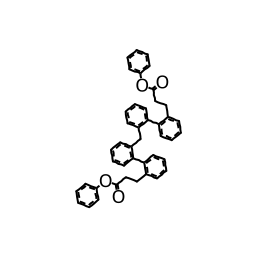 O=C(CCc1ccccc1-c1ccccc1Cc1ccccc1-c1ccccc1CCC(=O)Oc1ccccc1)Oc1ccccc1